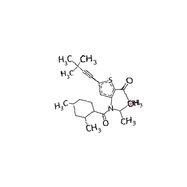 CC1CCC(C(=O)N(c2cc(C#CC(C)(C)C)sc2C(=O)O)C(C)C)C(C)C1